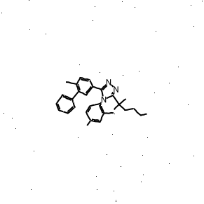 CCCCC(C)(C)c1nnc(-c2ccc(C)c(-c3ccccc3)c2)n1-c1ccc(C)cc1C